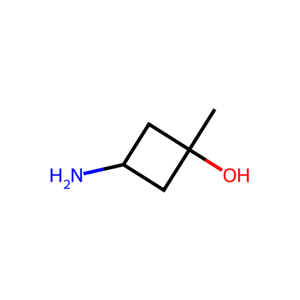 CC1(O)CC(N)C1